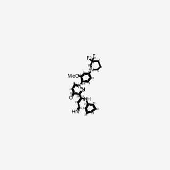 COc1cc(N2CCCC(F)(F)C2)ccc1-n1ccc(=O)c(/C(=C/C=N)Nc2ccccc2)n1